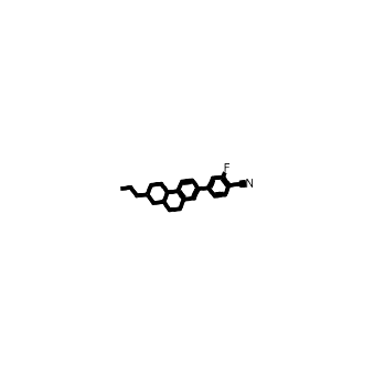 CCCC1CCC2c3ccc(-c4ccc(C#N)c(F)c4)cc3CCC2C1